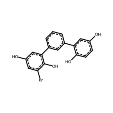 Oc1ccc(O)c(-c2cccc(-c3cc(O)cc(Br)c3O)c2)c1